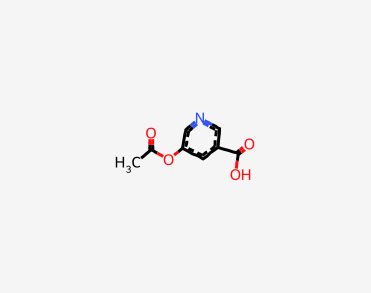 CC(=O)Oc1cncc(C(=O)O)c1